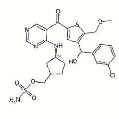 COCc1sc(C(=O)c2cncnc2N[C@H]2CCC(COS(N)(=O)=O)C2)cc1C(O)c1cccc(Cl)c1